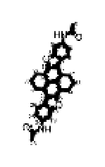 CC(=O)Nc1ccc2c(c1)oc1c3c4c(c5c(oc6cc(NC(C)=O)ccc65)c5c4c(c12)CCC5)CCC3